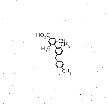 Cc1ccc(Cc2ccc(C)c(-c3c(C)cc(C(=O)O)cc3C)c2)cc1